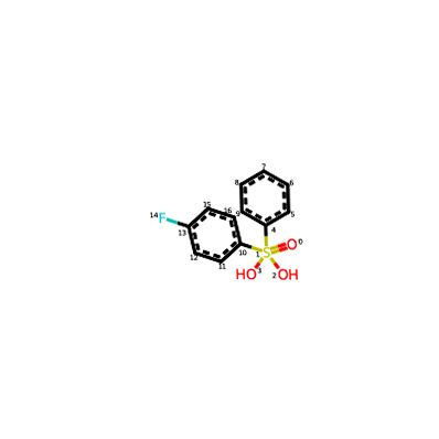 O=S(O)(O)(c1ccccc1)c1ccc(F)cc1